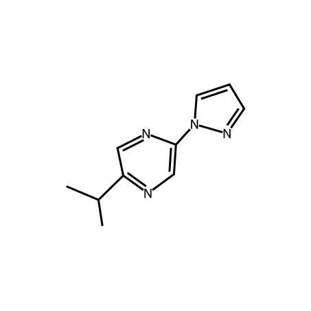 CC(C)c1cnc(-n2cccn2)cn1